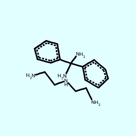 NC(N)(c1ccccc1)c1ccccc1.NCCNCCN